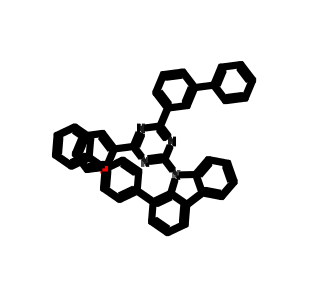 c1ccc(-c2ccc(-c3cccc4c5ccccc5n(-c5nc(-c6ccccc6)nc(-c6cccc(-c7ccccc7)c6)n5)c34)cc2)cc1